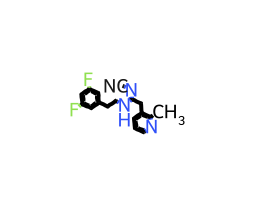 Cc1ncccc1CC(=NC#N)NCCc1cc(F)cc(F)c1